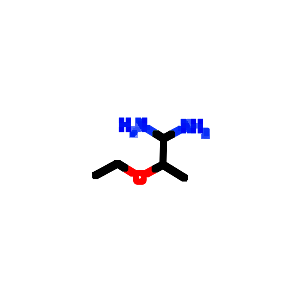 CCOC(C)C(N)N